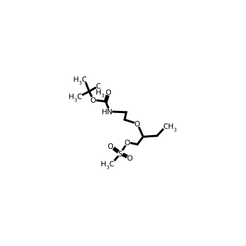 CCC(COS(C)(=O)=O)OCCNC(=O)OC(C)(C)C